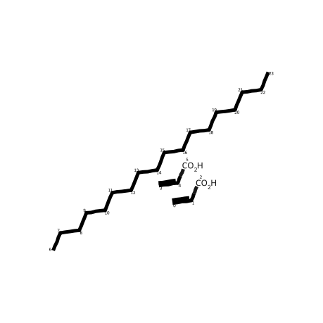 C=CC(=O)O.C=CC(=O)O.CCCCCCCCCCCCCCCCCC